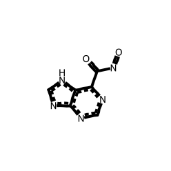 O=NC(=O)c1ncnc2nc[nH]c12